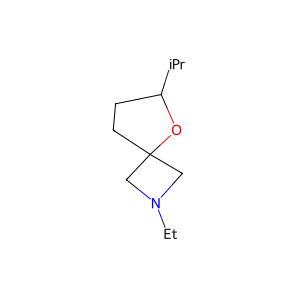 CCN1CC2(CCC(C(C)C)O2)C1